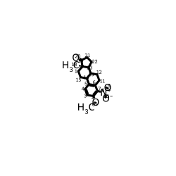 COc1ccc2c(c1[N+](=O)[O-])CCC1C2CC[C@]2(C)C(=O)CCC12